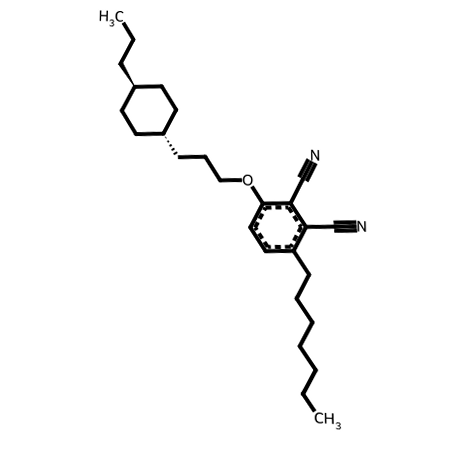 CCCCCCCc1ccc(OCCC[C@H]2CC[C@H](CCC)CC2)c(C#N)c1C#N